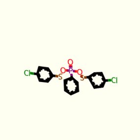 O=P(OSc1ccc(Cl)cc1)(OSc1ccc(Cl)cc1)c1ccccc1